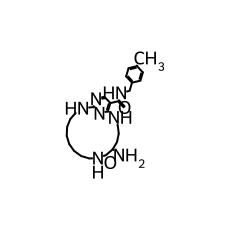 Cc1ccc(CNC(=O)c2cnc3nc2NCCC[C@H](N)C(=O)NCCCCCCCCN3)cc1